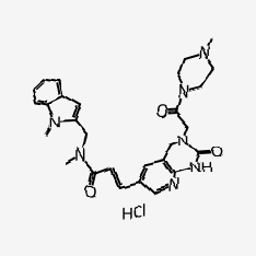 CN1CCN(C(=O)CN2Cc3cc(C=CC(=O)N(C)Cc4cc5ccccc5n4C)cnc3NC2=O)CC1.Cl